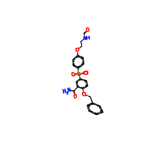 NC(=O)c1cc(S(=O)(=O)c2ccc(OCCNC=O)cc2)ccc1OCc1ccccc1